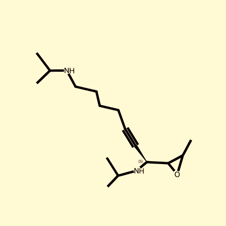 CC(C)NCCCCC#C[C@H](NC(C)C)C1OC1C